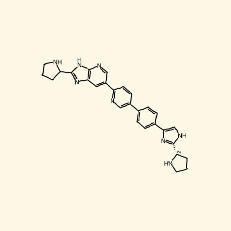 c1cc(-c2c[nH]c([C@@H]3CCCN3)n2)ccc1-c1ccc(-c2cnc3[nH]c(C4CCCN4)nc3c2)nc1